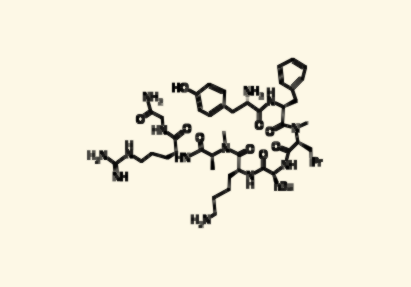 CCCC[C@H](NC(=O)[C@H](CC(C)C)N(C)C(=O)[C@H](Cc1ccccc1)NC(=O)[C@@H](N)Cc1ccc(O)cc1)C(=O)N[C@@H](CCCCN)C(=O)N(C)[C@@H](C)C(=O)N[C@@H](CCCNC(=N)N)C(=O)NCC(N)=O